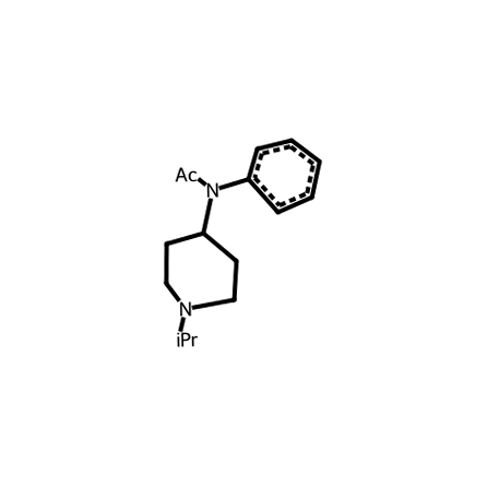 CC(=O)N(c1ccccc1)C1CCN(C(C)C)CC1